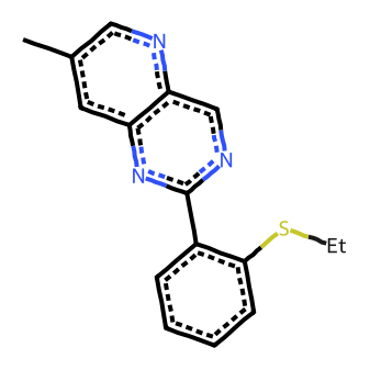 CCSc1ccccc1-c1ncc2ncc(C)cc2n1